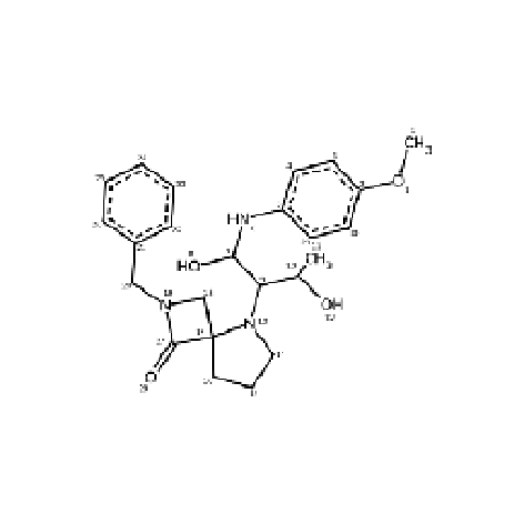 COc1ccc(NC(O)C(C(C)O)N2CCCC23CN(Cc2ccccc2)C3=O)cc1